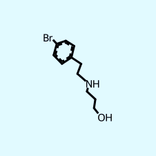 OCCCNCCc1ccc(Br)cc1